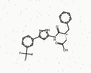 O=C(O)C[C@@H](Cc1ccccc1)C(=O)Nc1cc(-c2cccc(C(F)(F)F)c2)n[nH]1